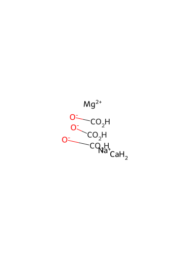 O=C([O-])O.O=C([O-])O.O=C([O-])O.[CaH2].[Mg+2].[Na+]